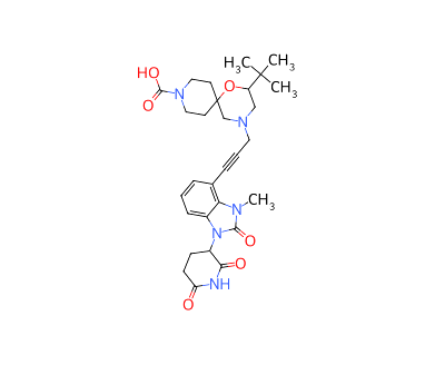 Cn1c(=O)n(C2CCC(=O)NC2=O)c2cccc(C#CCN3CC(C(C)(C)C)OC4(CCN(C(=O)O)CC4)C3)c21